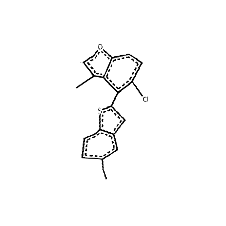 Cc1ccc2sc(-c3c(Cl)ccc4o[c]c(C)c34)cc2c1